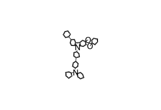 c1ccc(-c2ccc3c(c2)c2cc4c(cc2n3-c2ccc(-c3ccc(N(c5ccccc5)c5ccccc5)cc3)cc2)Oc2ccccc2O4)cc1